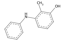 Cc1c(O)cccc1Nc1ccccc1